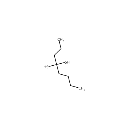 CCCCC(S)(S)CCC